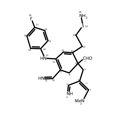 CN/C=C(\C=N)CC1(C=O)CC(C=N)=C(Nc2ccc(F)cc2)C=C1CCSN